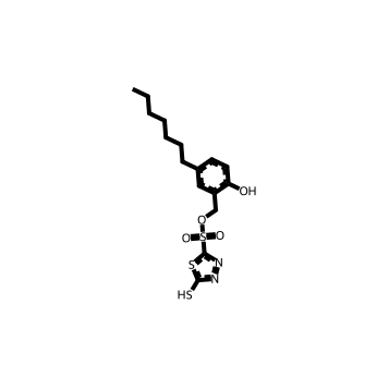 CCCCCCCc1ccc(O)c(COS(=O)(=O)c2nnc(S)s2)c1